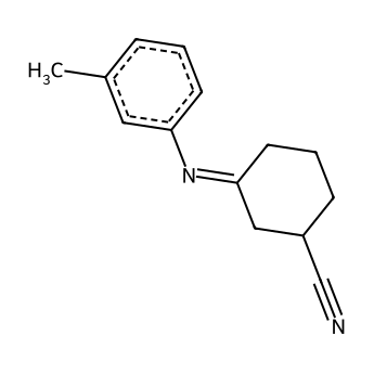 Cc1cccc(/N=C2\CCCC(C#N)C2)c1